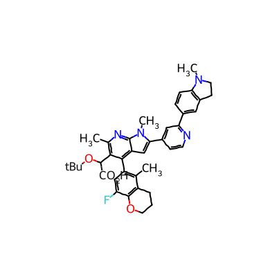 Cc1nc2c(cc(-c3ccnc(-c4ccc5c(c4)CCN5C)c3)n2C)c(-c2cc(F)c3c(c2C)CCCO3)c1C(OC(C)(C)C)C(=O)O